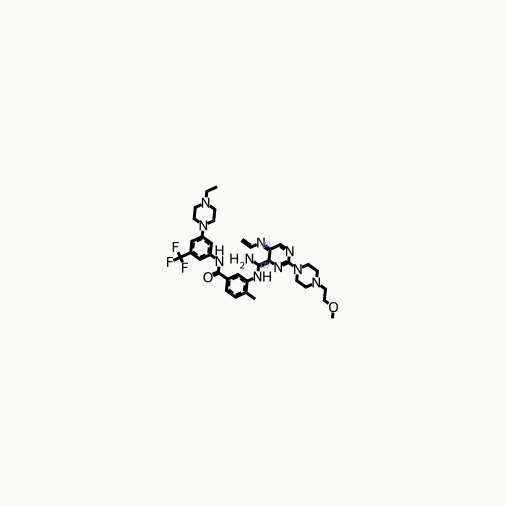 C=C/N=C1/C=NC(N2CCN(CCOC)CC2)=N/C1=C(/N)Nc1cc(C(=O)Nc2cc(N3CCN(CC)CC3)cc(C(F)(F)F)c2)ccc1C